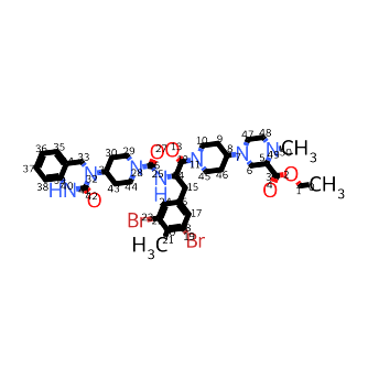 CCOC(=O)C1CN(C2CCN(C(=O)C(Cc3cc(Br)c(C)c(Br)c3)NC(=O)N3CCC(N4Cc5ccccc5NC4=O)CC3)CC2)CCN1C